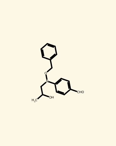 CC(O)CN(OCc1ccccc1)c1ccc(C=O)cc1